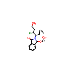 C=CC(C(F)CCO)N1C(=O)c2ccccc2C1=O.CCO